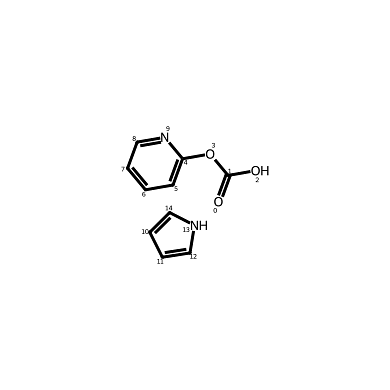 O=C(O)Oc1ccccn1.c1cc[nH]c1